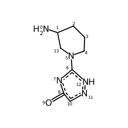 NC1CCCN(c2nc(=O)cn[nH]2)C1